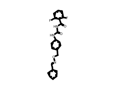 O=C(NC(=O)c1c(F)cccc1F)Nc1ccc(CON=Cc2ccccc2)cc1